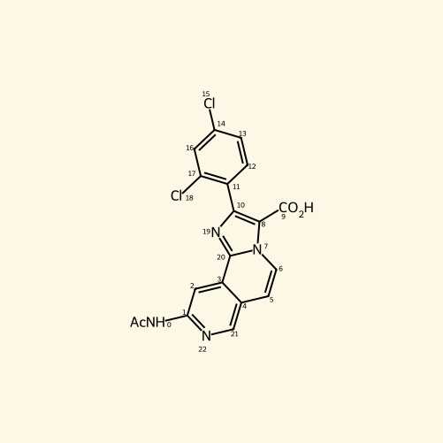 CC(=O)Nc1cc2c(ccn3c(C(=O)O)c(-c4ccc(Cl)cc4Cl)nc23)cn1